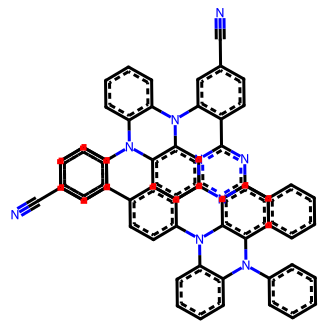 N#Cc1cccc(-c2ccc(N3c4ccccc4N(c4ccccc4)c4ccccc43)c(-c3nc(-c4ccccc4)nc(-c4ccc(C#N)cc4N4c5ccccc5N(c5ccccc5)c5ccccc54)n3)c2)c1